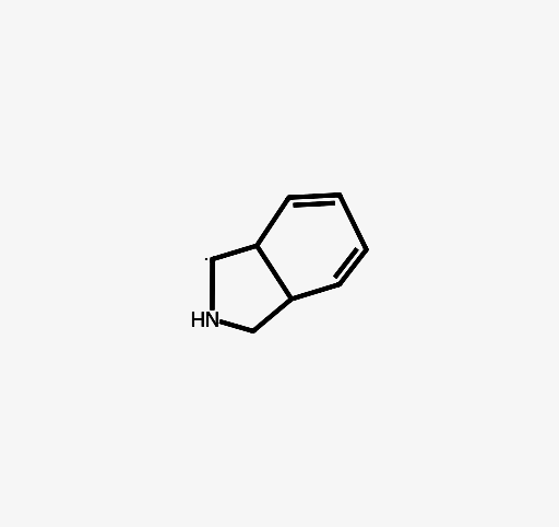 [CH]1NCC2C=CC=CC12